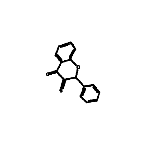 O=C1C(=S)C(c2ccccc2)Oc2ccccc21